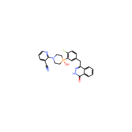 N#Cc1cccnc1N1CC[P](O)(c2cc(Cc3n[nH]c(=O)c4ccccc34)ccc2F)CC1